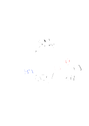 CS[C@H](Cc1ccccc1)C(NC(=O)O)[C@@H]1COC(C)(C)O1